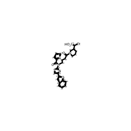 CCC(C(=O)O)C1CCCN(C(=O)CCCN(C(=O)c2cccs2)c2nc(-c3cc4ccccc4o3)cs2)C1